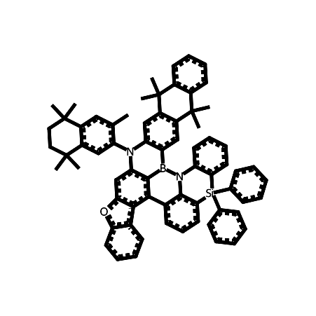 Cc1cc2c(cc1N1c3cc4c(cc3B3c5c1cc1oc6ccccc6c1c5-c1cccc5c1N3c1ccccc1[Si]5(c1ccccc1)c1ccccc1)C(C)(C)c1ccccc1C4(C)C)C(C)(C)CCC2(C)C